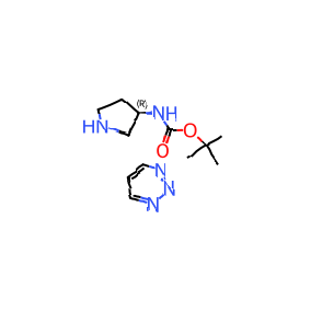 CC(C)(C)OC(=O)N[C@@H]1CCNC1.c1cnnnc1